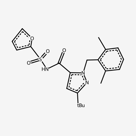 Cc1cccc(C)c1Cn1nc(C(C)(C)C)cc1C(=O)NS(=O)(=O)c1ccco1